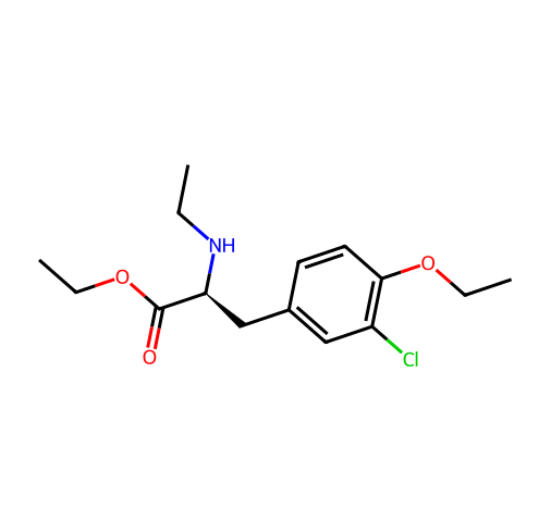 CCN[C@@H](Cc1ccc(OCC)c(Cl)c1)C(=O)OCC